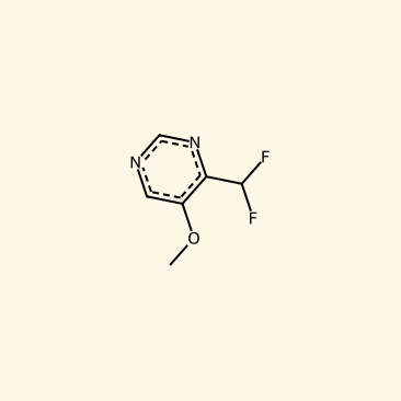 COc1cncnc1C(F)F